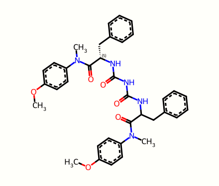 COc1ccc(N(C)C(=O)C(Cc2ccccc2)NC(=O)NC(=O)N[C@@H](Cc2ccccc2)C(=O)N(C)c2ccc(OC)cc2)cc1